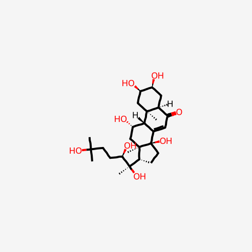 CC(C)(O)CC[C@@H](O)[C@](C)(O)[C@H]1CC[C@@]2(O)C3=CC(=O)[C@@H]4C[C@H](O)[C@H](O)C[C@]4(C)[C@H]3[C@@H](O)C[C@]12C